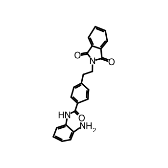 Nc1ccccc1NC(=O)c1ccc(CCN2C(=O)c3ccccc3C2=O)cc1